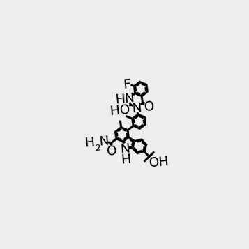 Cc1cc(C(N)=O)c2[nH]c3cc(C(C)(C)O)ccc3c2c1-c1cccc(N2C(=O)c3cccc(F)c3NC2O)c1C